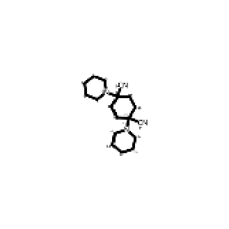 N#CC1(N2CCCCC2)CCC(C#N)(N2CCCCC2)CC1